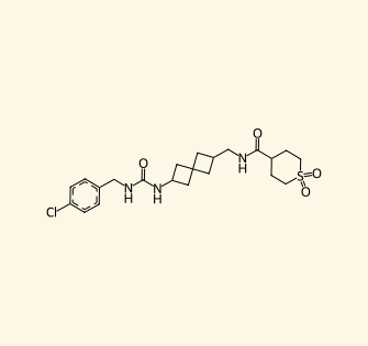 O=C(NCc1ccc(Cl)cc1)NC1CC2(CC(CNC(=O)C3CCS(=O)(=O)CC3)C2)C1